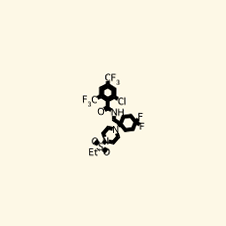 CCS(=O)(=O)N1CCN(C2(CNC(=O)c3c(Cl)cc(C(F)(F)F)cc3C(F)(F)F)CCC(F)(F)CC2)CC1